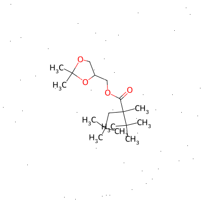 CC(C)(C)CC(C)(C(=O)OCC1COC(C)(C)O1)C(C)(C)C